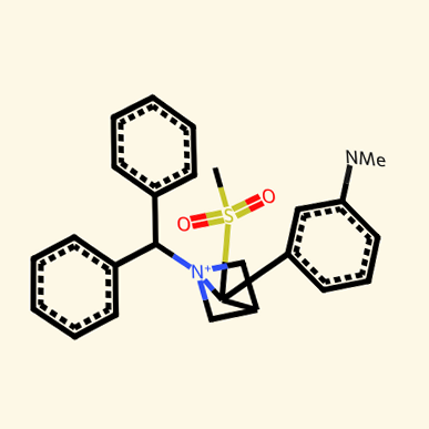 CNc1cccc(C2(S(C)(=O)=O)C3C[N+]2(C(c2ccccc2)c2ccccc2)C3)c1